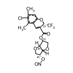 Cc1cc2c(c(C)c1Cl)C=C(C(=O)O[C@H]1CO[C@H]3[C@@H]1OC[C@H]3ON=O)[C@@H](C(F)(F)F)O2